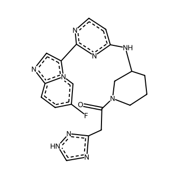 O=C(Cc1nc[nH]n1)N1CCCC(Nc2ccnc(-c3cnc4ccc(F)cn34)n2)C1